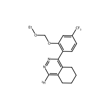 [2H]c1nnc(-c2ccc(C(F)(F)F)cc2OCOCC)c2c1CCCC2